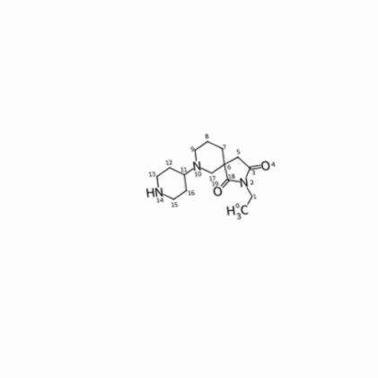 CCN1C(=O)CC2(CCCN(C3CCNCC3)C2)C1=O